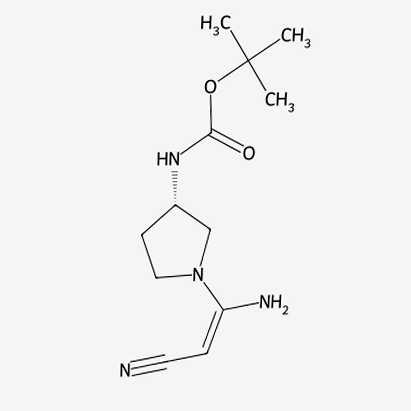 CC(C)(C)OC(=O)N[C@H]1CCN(/C(N)=C\C#N)C1